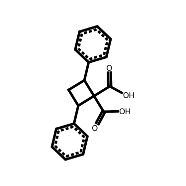 O=C(O)C1(C(=O)O)C(c2ccccc2)CC1c1ccccc1